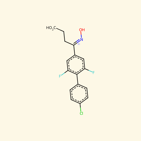 O=C(O)CC/C(=N\O)c1cc(F)c(-c2ccc(Cl)cc2)c(F)c1